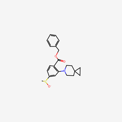 C[S+]([O-])c1ccc(C(=O)OCc2ccccc2)c(N2CCC3(CC2)CC3)c1